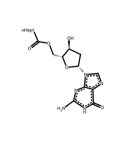 CCCCCCCC(=O)OC[C@H]1O[C@@H](n2cnc3c(=O)[nH]c(N)nc32)C[C@@H]1O